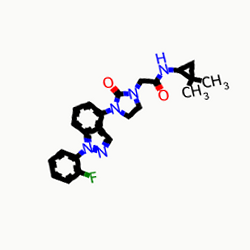 CC1(C)CC1NC(=O)CN1CCN(c2cccc3c2cnn3-c2ccccc2F)C1=O